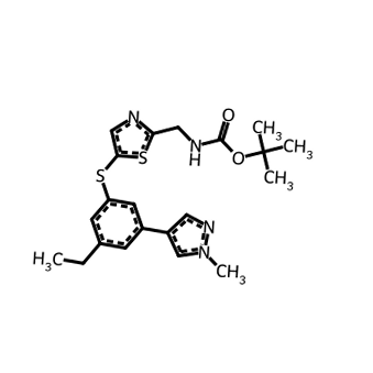 CCc1cc(Sc2cnc(CNC(=O)OC(C)(C)C)s2)cc(-c2cnn(C)c2)c1